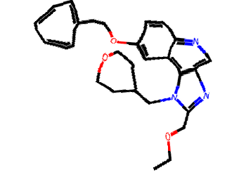 CCOCc1nc2cnc3ccc(OCc4ccccc4)cc3c2n1CC1CCOCC1